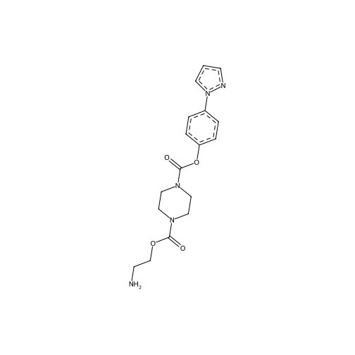 NCCOC(=O)N1CCN(C(=O)Oc2ccc(-n3cccn3)cc2)CC1